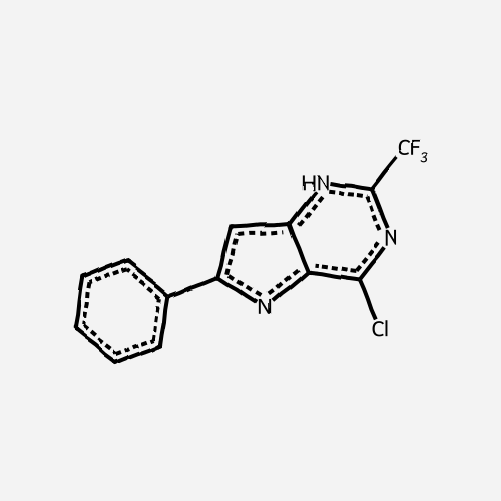 FC(F)(F)c1nc(Cl)c2nc(-c3ccccc3)cc-2[nH]1